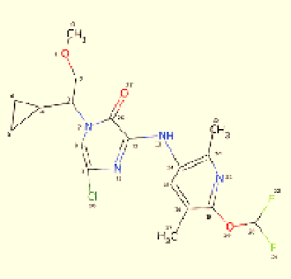 COCC(C1CC1)n1cc(Cl)nc(Nc2cc(C)c(OC(F)F)nc2C)c1=O